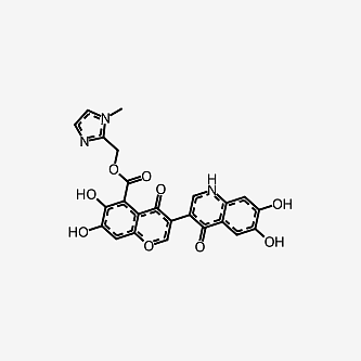 Cn1ccnc1COC(=O)c1c(O)c(O)cc2occ(-c3c[nH]c4cc(O)c(O)cc4c3=O)c(=O)c12